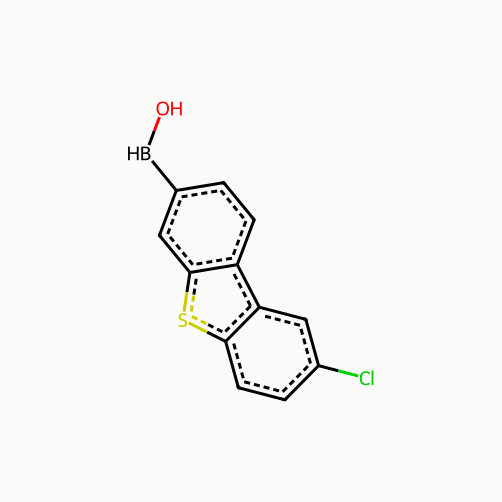 OBc1ccc2c(c1)sc1ccc(Cl)cc12